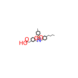 CCCCc1ccc(CN(Cc2cccc(CC(=O)O)c2)S(=O)(=O)c2ccc(C)cc2)cc1